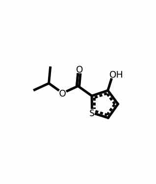 CC(C)OC(=O)c1sccc1O